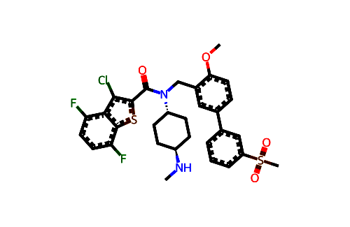 CN[C@H]1CC[C@H](N(Cc2cc(-c3cccc(S(C)(=O)=O)c3)ccc2OC)C(=O)c2sc3c(F)ccc(F)c3c2Cl)CC1